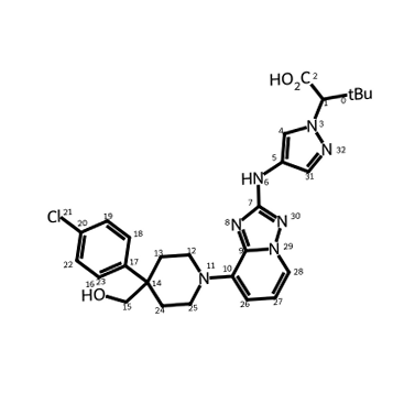 CC(C)(C)C(C(=O)O)n1cc(Nc2nc3c(N4CCC(CO)(c5ccc(Cl)cc5)CC4)cccn3n2)cn1